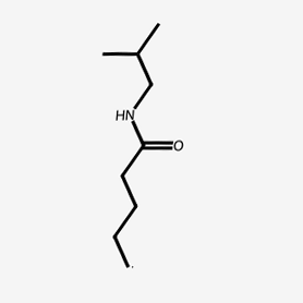 [CH2]CCCC(=O)NCC(C)C